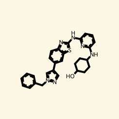 OC1CCC(Nc2cccc(Nc3nc4ccc(-c5cnn(Cc6ccccc6)c5)cc4s3)n2)CC1